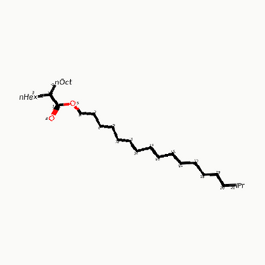 CCCCCCCCC(CCCCCC)C(=O)OCCCCCCCCCCCCCCCC(C)C